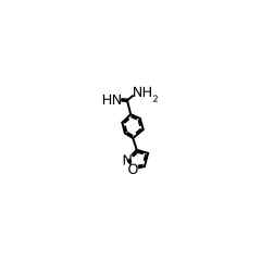 N=C(N)c1ccc(-c2ccon2)cc1